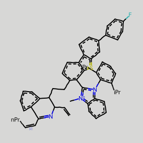 C=CC1N=C(/C=C\CCC)c2ccccc2C1CCc1ccc2c(sc3cc(-c4ccc(F)cc4)ccc32)c1-c1n(-c2c(C(C)C)cccc2C(C)C)c2ccccc2[n+]1C